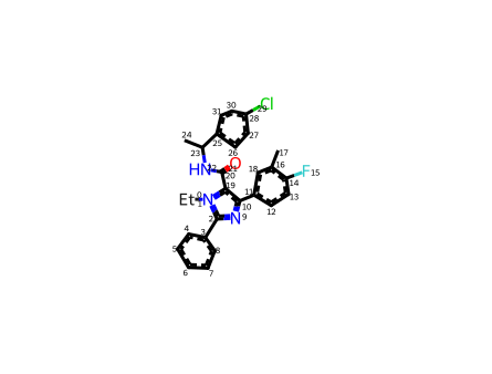 CCn1c(-c2ccccc2)nc(-c2ccc(F)c(C)c2)c1C(=O)NC(C)c1ccc(Cl)cc1